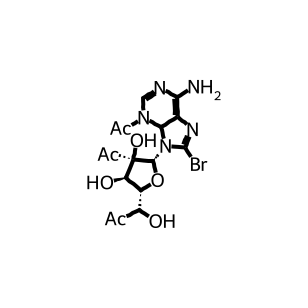 CC(=O)C(O)[C@H]1O[C@@H](N2C(Br)=NC3=C(N)N=CN(C(C)=O)C32)[C@@](O)(C(C)=O)[C@@H]1O